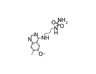 COc1cc2c(NCCCNS(N)(=O)=O)ncnc2cc1C